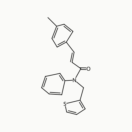 Cc1ccc(C=CC(=O)N(Cc2cccs2)c2ccccc2)cc1